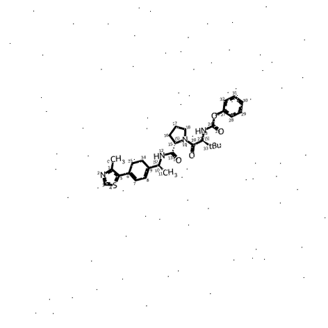 Cc1ncsc1C1=CC=C([C@H](C)NC(=O)[C@@H]2CCCN2C(=O)[C@@H](NC(=O)Oc2ccccc2)C(C)(C)C)CC1